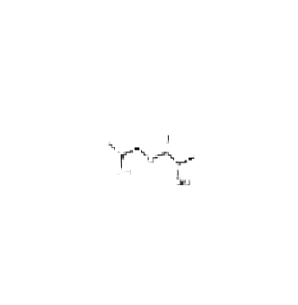 C[C@H](O)CO[C@@H](C)[C@@H](C)C(C)(C)C